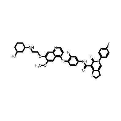 COc1cc2c(Oc3ccc(NC(=O)c4c5c(cn(-c6ccc(F)cc6)c4=O)CCO5)cc3F)ccnc2cc1OCCNC1CCCC(O)C1